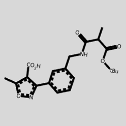 Cc1onc(-c2cccc(CNC(=O)C(C)C(=O)OC(C)(C)C)c2)c1C(=O)O